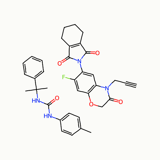 C#CCN1C(=O)COc2cc(F)c(N3C(=O)C4=C(CCCC4)C3=O)cc21.Cc1ccc(NC(=O)NC(C)(C)c2ccccc2)cc1